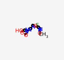 COCCn1ncc2cc(F)c(COc3cccc(C4CCN(Cc5nc6ccc(C(=O)O)cc6n5CC5CCO5)CC4)n3)cc21